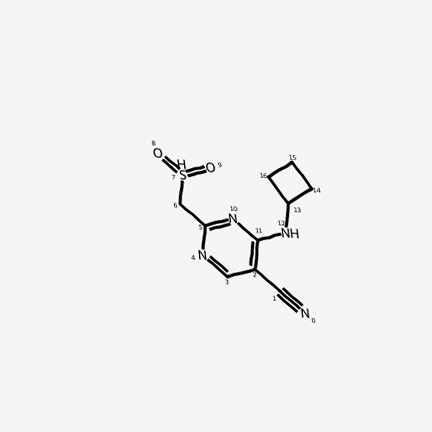 N#Cc1cnc(C[SH](=O)=O)nc1NC1CCC1